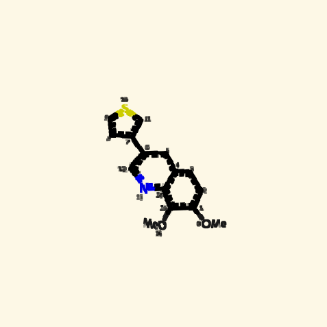 COc1ccc2cc(-c3ccsc3)cnc2c1OC